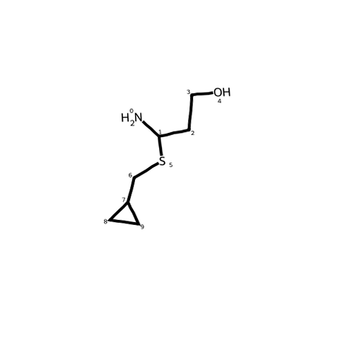 NC(CCO)SCC1CC1